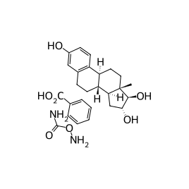 C[C@]12CC[C@@H]3c4ccc(O)cc4CC[C@H]3[C@@H]1C[C@@H](O)[C@@H]2O.NOC(N)=O.O=C(O)c1ccccc1